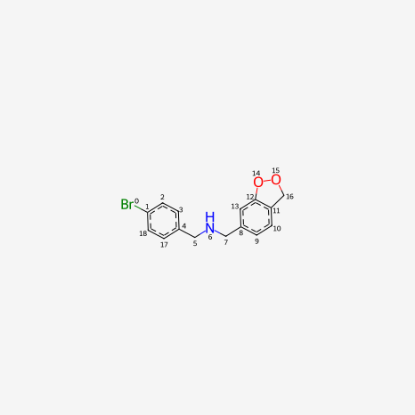 Brc1ccc(CNCc2ccc3c(c2)OOC3)cc1